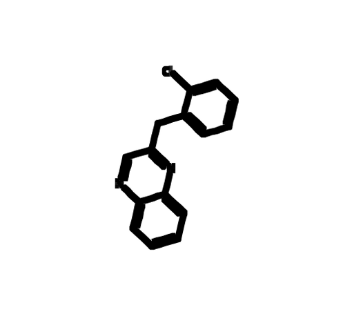 Clc1ccccc1Cc1cnc2ccccc2n1